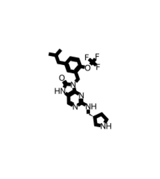 CC(C)Cc1ccc(OC(F)(F)F)c(Cn2c(=O)[nH]c3cnc(NC[C@@H]4CCNC4)nc32)c1